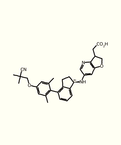 Cc1cc(OCC(C)(C)C#N)cc(C)c1-c1cccc2c1CC[C@H]2Nc1cnc2c(c1)OCC2CC(=O)O